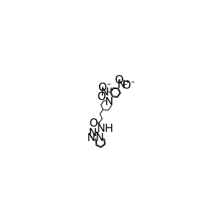 O=C(CCC1CCN(c2ccc([N+](=O)[O-])cc2[N+](=O)[O-])CC1)Nc1nnc2ccccn12